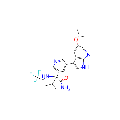 CC(C)Oc1cnc2[nH]cc(-c3cncc([C@](NCC(F)(F)F)(C(N)=O)C(C)C)c3)c2c1